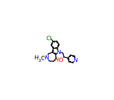 CN1CCCc2c(c3cc(Cl)ccc3n2CC(O)c2ccncc2)C1